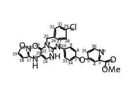 COC(=O)c1cc(Oc2ccc(/N=c3\[nH]cc(Nc4ccon4)c(=O)n3Cc3ccc(Cl)cc3)cc2)ccn1